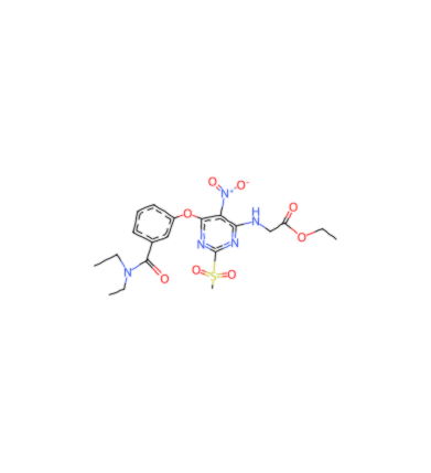 CCOC(=O)CNc1nc(S(C)(=O)=O)nc(Oc2cccc(C(=O)N(CC)CC)c2)c1[N+](=O)[O-]